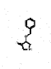 O=C1CNCC1OCc1ccccc1